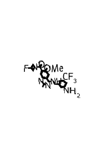 COc1cc2c(NCc3cc(N)cc(C(F)(F)F)c3)nc(C)nc2cc1C(=O)N1CC(F)C1